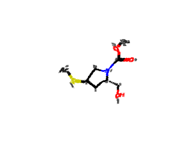 CC(=O)S[C@@H]1C[C@@H](CO)N(C(=O)OC(C)(C)C)C1